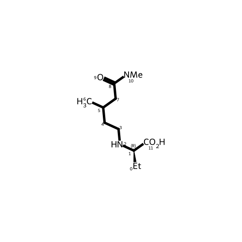 CC[C@@H](NCCC(C)CC(=O)NC)C(=O)O